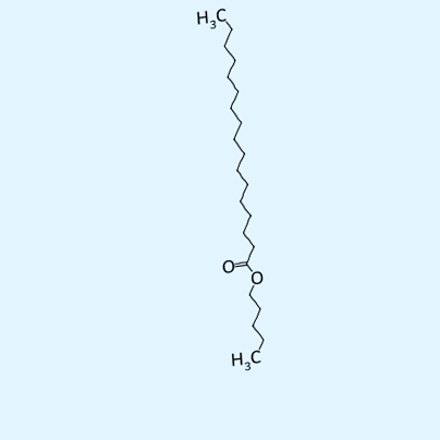 CCCCCCCCCCCCCCCCC(=O)OCCCCC